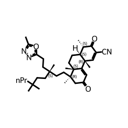 CCCC(C)(C)CC[C@](C)(CCc1nnc(C)o1)CC[C@]1(C)CC(=O)C=C2[C@@]3(C)C=C(C#N)C(=O)[C@@H](C)[C@@H]3CC[C@]21C